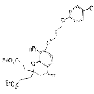 CCCc1c(OCCCOc2ccc(Cl)cc2)ccc2c1OC(CCC(=O)OCC)(CCC(=O)OCC)CC2=O